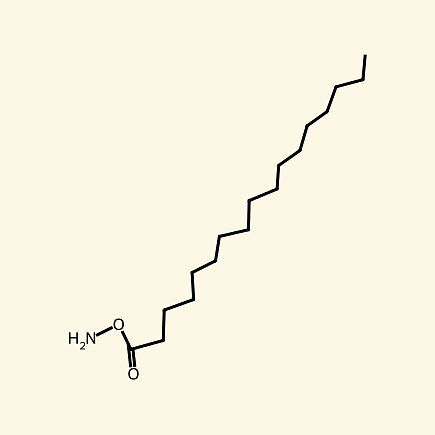 CCCCCCCCCCCCCCCCC(=O)ON